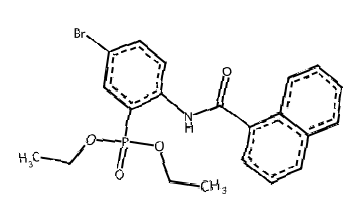 CCOP(=O)(OCC)c1cc(Br)ccc1NC(=O)c1cccc2ccccc12